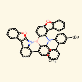 Cc1cc2c3c(c1)N(c1ccc(C(C)(C)C)cc1-c1ccccc1)c1c(ccc4oc5ccccc5c14)B3n1c3oc4ccccc4c3c3cccc-2c31